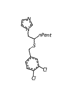 CCCCCC(Cn1ccnc1)SCc1ccc(Cl)c(Cl)c1